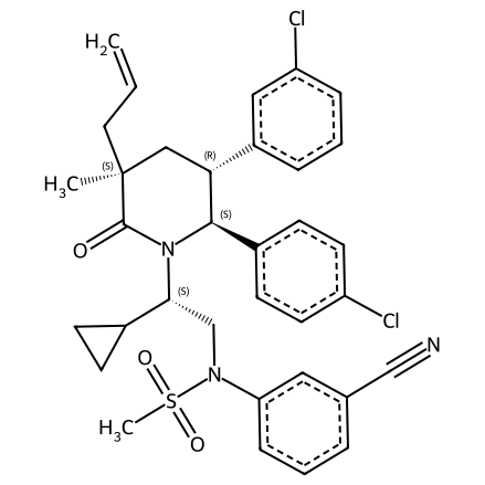 C=CC[C@@]1(C)C[C@H](c2cccc(Cl)c2)[C@@H](c2ccc(Cl)cc2)N([C@H](CN(c2cccc(C#N)c2)S(C)(=O)=O)C2CC2)C1=O